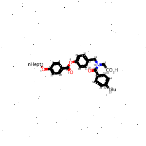 CCCCCCCOc1ccc(C(=O)Oc2ccc(CN(CC(=O)O)C(=O)c3ccc(C(C)(C)C)cc3)cc2)cc1